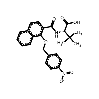 CC(C)(C)[C@H](NC(=O)c1ccc2ccccc2c1OCc1ccc([N+](=O)[O-])cc1)C(=O)O